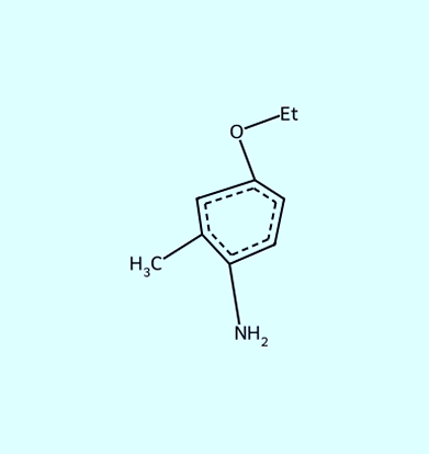 [CH2]COc1ccc(N)c(C)c1